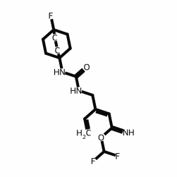 C=C/C(=C\C(=N)OC(F)F)CNC(=O)NC12CCC(F)(CC1)CC2